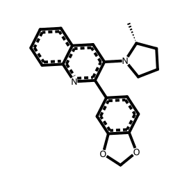 C[C@@H]1CCCN1c1cc2ccccc2nc1-c1ccc2c(c1)OCO2